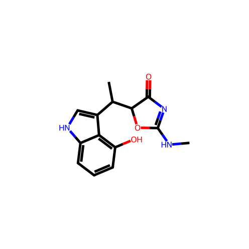 CNC1=NC(=O)C(C(C)c2c[nH]c3cccc(O)c23)O1